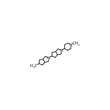 CC1CC2CN(C3CC4CN(C5CCN(C)CC5)CC4C3)CC2C1